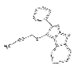 CC#CCSc1c(-c2ccccc2)nc2nc3cccccc3n12